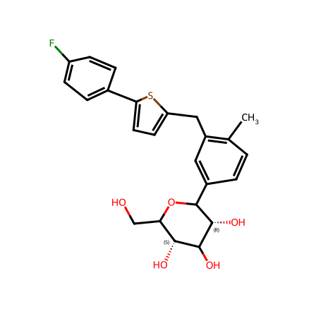 Cc1ccc(C2OC(CO)[C@@H](O)C(O)[C@H]2O)cc1Cc1ccc(-c2ccc(F)cc2)s1